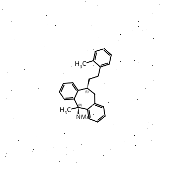 CN[C@]1(C)c2ccccc2C[C@H](CCc2ccccc2C)c2ccccc21